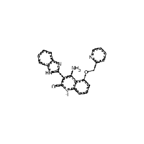 Nc1c(-c2nc3ccccc3[nH]2)c(=O)[nH]c2cccc(OCc3ccccn3)c12